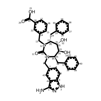 Nc1n[nH]c2ccc(CN3C(=O)N(Cc4cccc(C(=O)O)c4)[C@H](Cc4ccccc4)[C@H](O)[C@@H](O)[C@H]3Cc3ccccc3)cc12